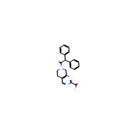 NC(=O)c1n[c]c2c(n1)CN(C(=O)C(c1ccccc1)c1ccccc1)CC2